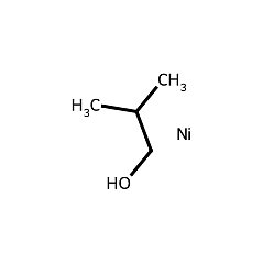 CC(C)CO.[Ni]